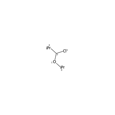 CC(C)OC(Cl)C(C)C